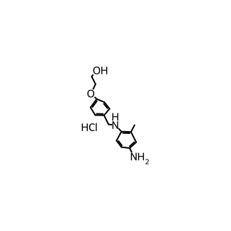 Cc1cc(N)ccc1NCc1ccc(OCCO)cc1.Cl